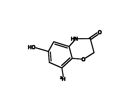 [2H]c1cc(O)cc2c1OCC(=O)N2